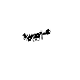 O=C(NCCc1ccncc1)c1cc(Cl)c(C(=O)n2ccc3c(NC(=O)C4CC4)nccc32)c(Cl)c1